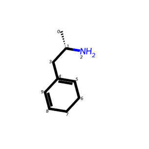 C[C@H](N)CC1=CCCC=C1